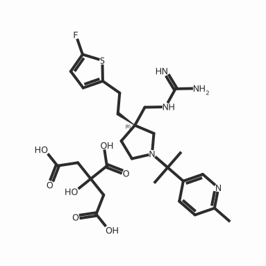 Cc1ccc(C(C)(C)N2CC[C@](CCc3ccc(F)s3)(CNC(=N)N)C2)cn1.O=C(O)CC(O)(CC(=O)O)C(=O)O